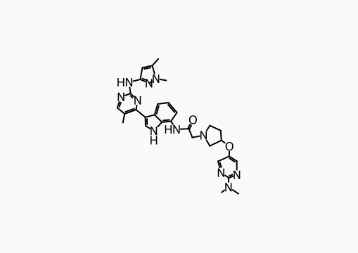 Cc1cnc(Nc2cc(C)n(C)n2)nc1-c1c[nH]c2c(NC(=O)CN3CCC(Oc4cnc(N(C)C)nc4)C3)cccc12